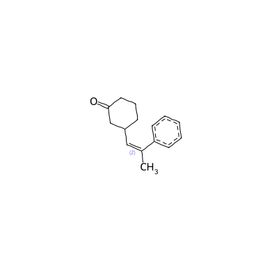 C/C(=C/C1CCCC(=O)C1)c1ccccc1